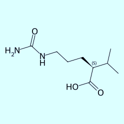 CC(C)[C@H](CCCNC(N)=O)C(=O)O